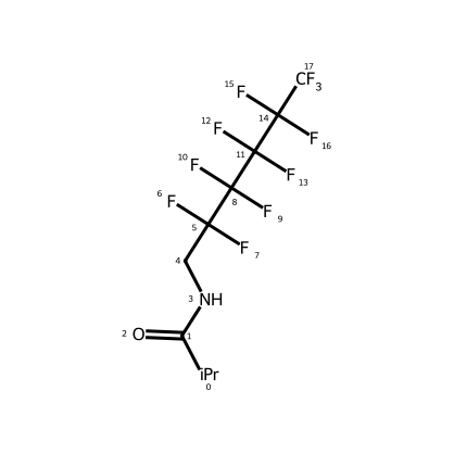 CC(C)C(=O)NCC(F)(F)C(F)(F)C(F)(F)C(F)(F)C(F)(F)F